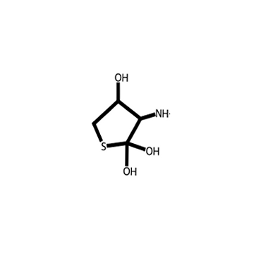 [NH]C1C(O)CSC1(O)O